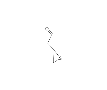 O=CCC1CS1